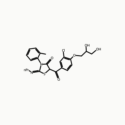 CCCN=C1SC(C(=O)c2ccc(OCC(O)CO)c(Cl)c2)C(=O)N1c1ccccc1C